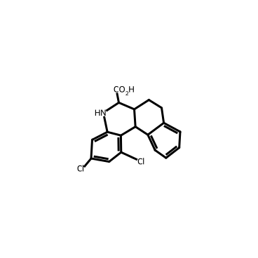 O=C(O)C1Nc2cc(Cl)cc(Cl)c2C2c3ccccc3CCC12